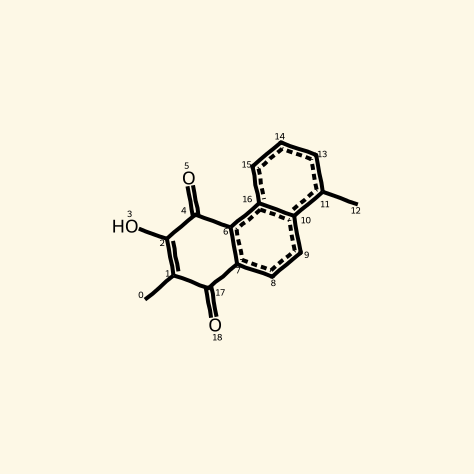 CC1=C(O)C(=O)c2c(ccc3c(C)cccc23)C1=O